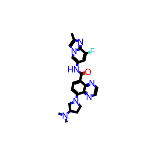 Cc1cn2cc(NC(=O)c3ccc(N4CCC(N(C)C)C4)c4nccnc34)cc(F)c2n1